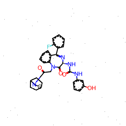 O=C(Nc1cccc(O)c1)N[C@@H]1N=C(c2ccccc2F)c2ccccc2N(CC(=O)N2CC3CCC(CC3)C2)C1=O